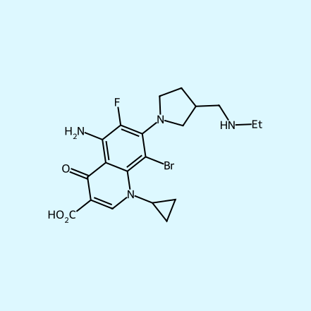 CCNCC1CCN(c2c(F)c(N)c3c(=O)c(C(=O)O)cn(C4CC4)c3c2Br)C1